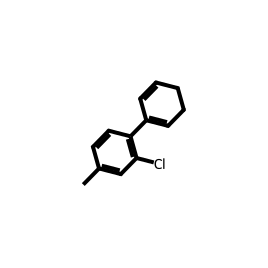 Cc1ccc(C2=CCCC=C2)c(Cl)c1